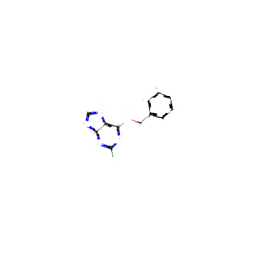 Clc1nc2ncnc-2c(OCc2ccccc2)[nH]1